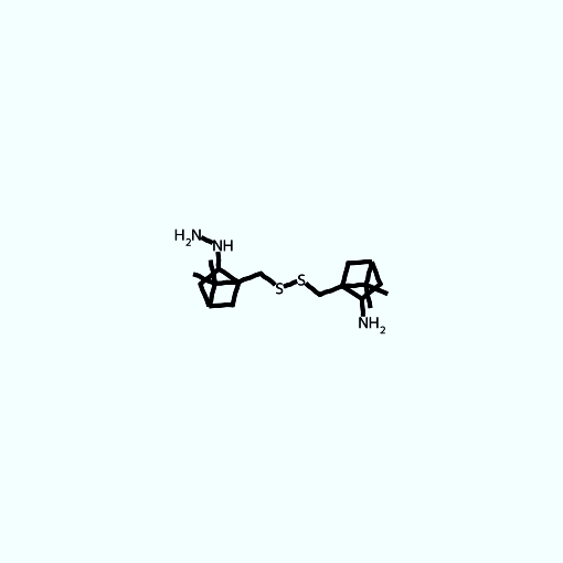 CC1(C)C2CC(N)C1(CSSCC13CC(CC1NN)C3(C)C)C2